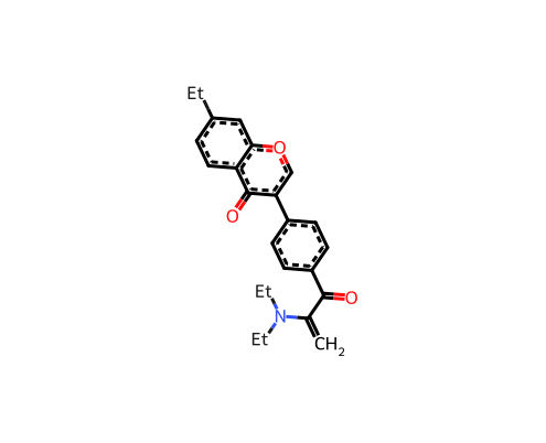 C=C(C(=O)c1ccc(-c2coc3cc(CC)ccc3c2=O)cc1)N(CC)CC